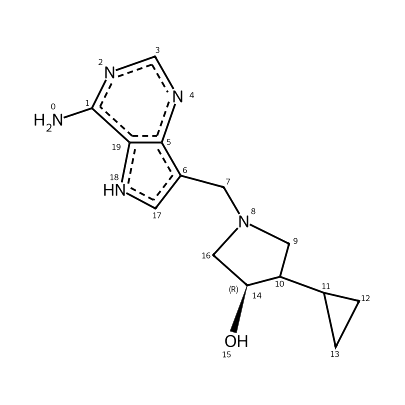 Nc1ncnc2c(CN3CC(C4CC4)[C@@H](O)C3)c[nH]c12